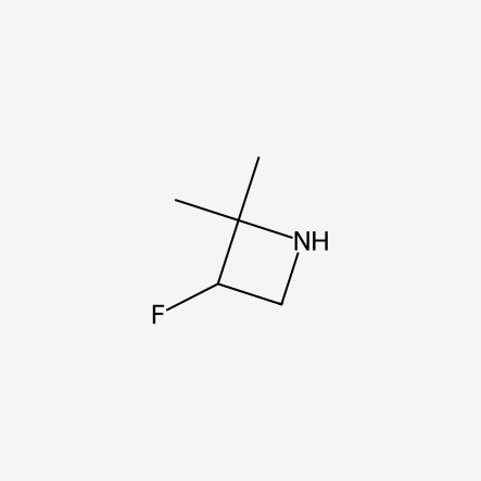 CC1(C)NCC1F